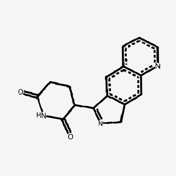 O=C1CCC(C2=NCc3cc4ncccc4cc32)C(=O)N1